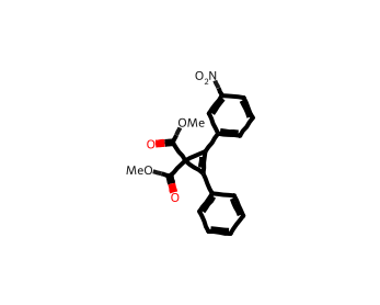 COC(=O)C1(C(=O)OC)C(c2ccccc2)=C1c1cccc([N+](=O)[O-])c1